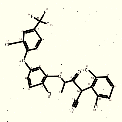 CC(Oc1cc(Oc2ccc(C(F)(F)F)cc2Cl)ccc1Cl)C(=O)C(C#N)c1c(Cl)cccc1Cl